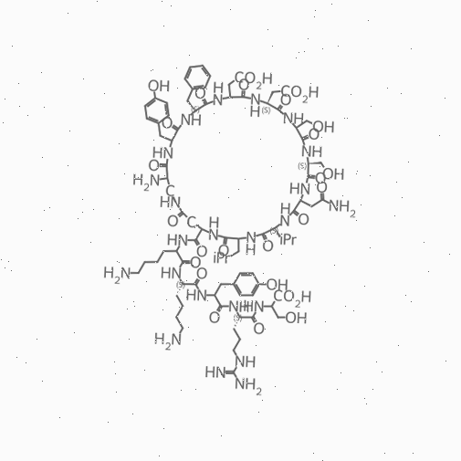 CC(C)CC1NC(=O)[C@H](C(C)C)NC(=O)C(CC(N)=O)NC(=O)[C@H](CO)NC(=O)C(CO)NC(=O)[C@H](CC(=O)O)NC(=O)C(CC(=O)O)NC(=O)[C@H](Cc2ccccc2)NC(=O)C(Cc2ccc(O)cc2)NC(=O)C(N)CNC(=O)CC(C(=O)NC(CCCCN)C(=O)N[C@@H](CCCCN)C(=O)NC(Cc2ccc(O)cc2)C(=O)N[C@@H](CCCNC(=N)N)C(=O)NC(CO)C(=O)O)NC1=O